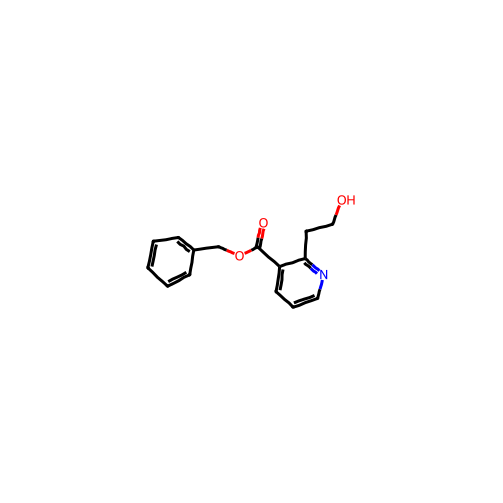 O=C(OCc1ccccc1)c1cccnc1CCO